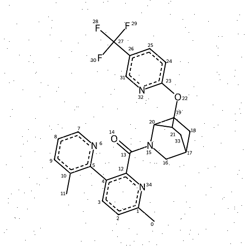 Cc1ccc(-c2ncccc2C)c(C(=O)N2CC3CCC2C(Oc2ccc(C(F)(F)F)cn2)C3)n1